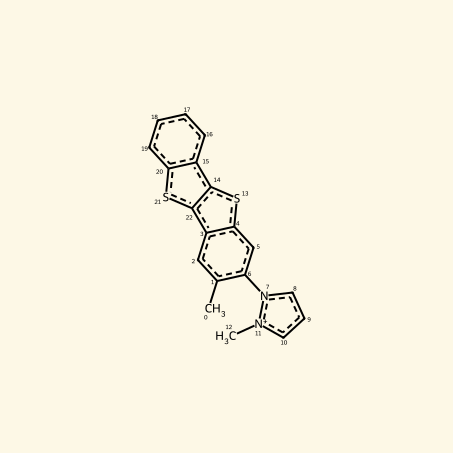 Cc1cc2c(cc1-n1ccc[n+]1C)sc1c3ccccc3sc21